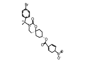 C[C@@H](c1ccc(Br)cc1)N1CC[C@]2(CC[C@@H](OC(=O)C3=CCC([N+](=O)[O-])C=C3)CC2)OC1=O